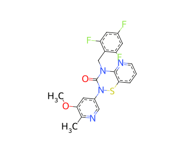 COc1cc(N2Sc3cccnc3N(Cc3c(F)cc(F)cc3F)C2=O)cnc1C